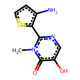 Cn1c(-c2sccc2N)ncc(O)c1=O